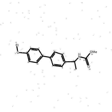 CCOc1ccc(-c2ccc(C(C)NC(=O)OC)cc2)cc1